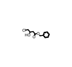 O=C(CC(O)CCl)OCc1ccccc1